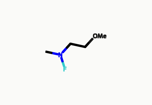 COCCN(C)F